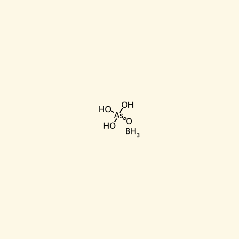 B.O=[As](O)(O)O